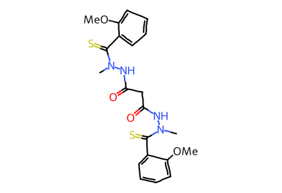 COc1ccccc1C(=S)N(C)NC(=O)CC(=O)NN(C)C(=S)c1ccccc1OC